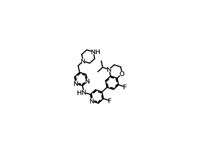 CC(C)N1CCOc2c(F)cc(-c3cc(Nc4ncc(CN5CCNCC5)cn4)ncc3F)cc21